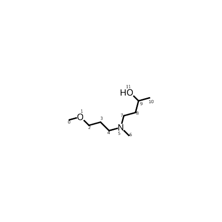 COCCCN(C)CCC(C)O